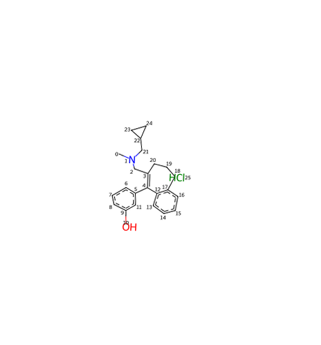 CN(CC1=C(c2cccc(O)c2)c2ccccc2CCC1)CC1CC1.Cl